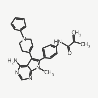 C=C(C)C(=O)Nc1ccc(-c2c(C3=CCN(c4ccccc4)CC3)c3c(N)ncnc3n2C)cc1